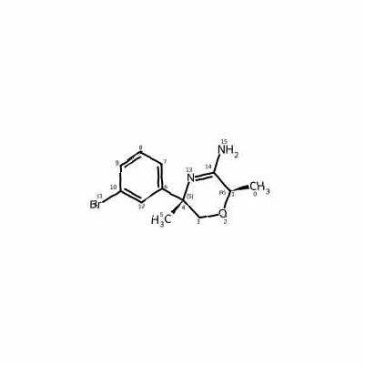 C[C@H]1OC[C@](C)(c2cccc(Br)c2)N=C1N